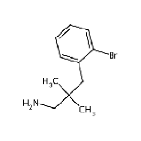 CC(C)(CN)Cc1ccccc1Br